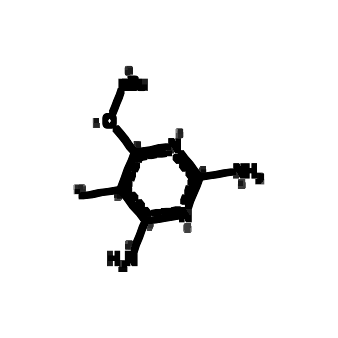 CCCCOc1nc(N)nc(N)c1C